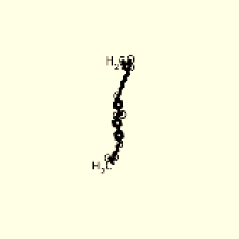 C=CC(=O)OCCCOc1ccc(-c2ccc(OC(=O)c3ccc(OCCCCCCCC4CC(=C)C(=O)O4)cc3)cc2)cc1